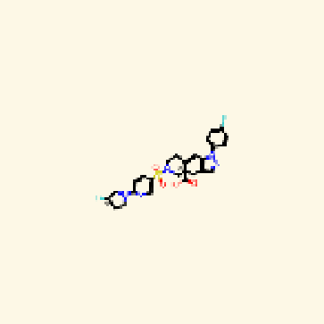 O=C(O)[C@]12Cc3cnn(-c4ccc(F)cc4)c3C=C1CCN(S(=O)(=O)c1ccc(N3CC[C@@H](F)C3)nc1)C2